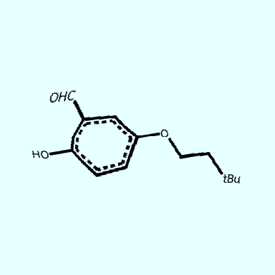 CC(C)(C)CCOc1ccc(O)c(C=O)c1